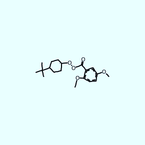 COc1ccc(OC)c(C(=O)OO[C]2CCC(C(C)(C)C)CC2)c1